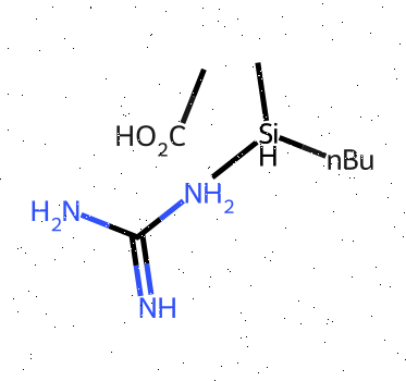 CC(=O)O.CCCC[SiH](C)C.N=C(N)N